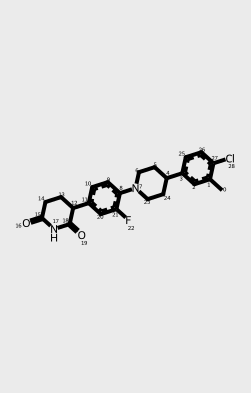 Cc1cc(C2CCN(c3ccc(C4CCC(=O)NC4=O)cc3F)CC2)ccc1Cl